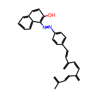 C=C(C)C=CC(=C)/C=C\C(=C)C=Cc1ccc(N=Nc2c(O)ccc3ccccc23)cc1